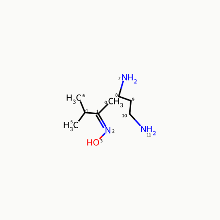 CC(=NO)C(C)C.NCCCN